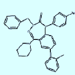 Cc1ccccc1-c1ccc2c(c1)C(C1CCCCC1)=NN(Cc1ccccc1)C(=O)N2c1ccc(N)cc1